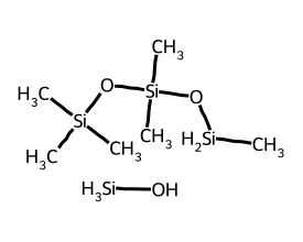 C[SiH2]O[Si](C)(C)O[Si](C)(C)C.O[SiH3]